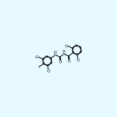 O=C(NC(=O)c1c(Cl)cccc1Cl)Nc1cc(Cl)c(I)c(Cl)c1